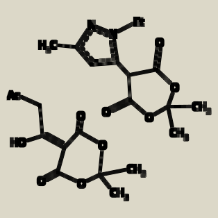 CC(=O)CC(O)=C1C(=O)OC(C)(C)OC1=O.CCn1nc(C)cc1C1C(=O)OC(C)(C)OC1=O